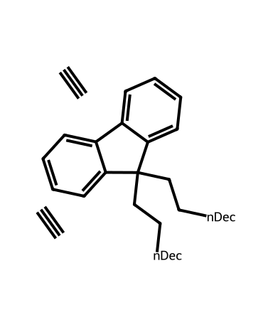 C#C.C#C.CCCCCCCCCCCCC1(CCCCCCCCCCCC)c2ccccc2-c2ccccc21